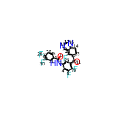 O=C(Nc1cc(F)c(F)c(C(=O)c2ccc3ncncc3c2)c1F)c1ccc(F)c(F)c1